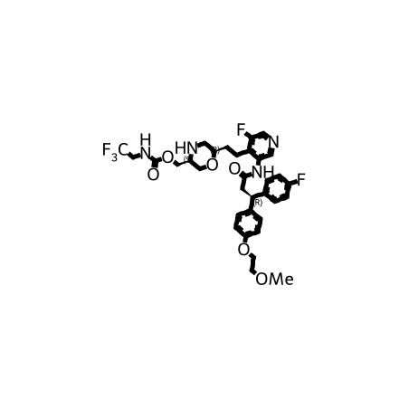 COCCOc1ccc([C@@H](CC(=O)Nc2cncc(F)c2CC[C@@H]2CN[C@H](COC(=O)NCC(F)(F)F)CO2)c2ccc(F)cc2)cc1